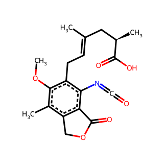 COc1c(C)c2c(c(N=C=O)c1C/C=C(\C)C[C@@H](C)C(=O)O)C(=O)OC2